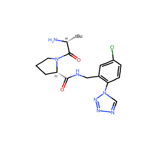 CC(C)(C)[C@@H](N)C(=O)N1CCC[C@H]1C(=O)NCc1cc(Cl)ccc1-n1cnnn1